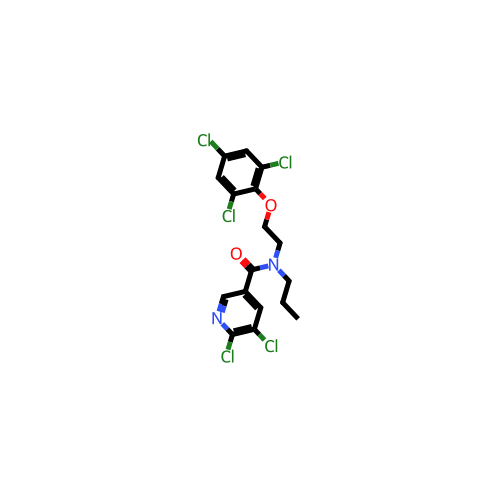 CCCN(CCOc1c(Cl)cc(Cl)cc1Cl)C(=O)c1cnc(Cl)c(Cl)c1